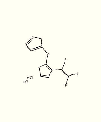 Cl.Cl.FC(F)C(F)C1=[C]([Zr][C]2=CC=CC2)CC=C1